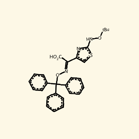 CC(C)(C)ONc1nc(/C(=N/OC(c2ccccc2)(c2ccccc2)c2ccccc2)C(=O)O)cs1